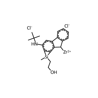 CC(C)(C)Nc1cc2c(c3c1[Si]3(C)CCO)[CH]([Zr+2])c1ccccc1-2.[Cl-].[Cl-]